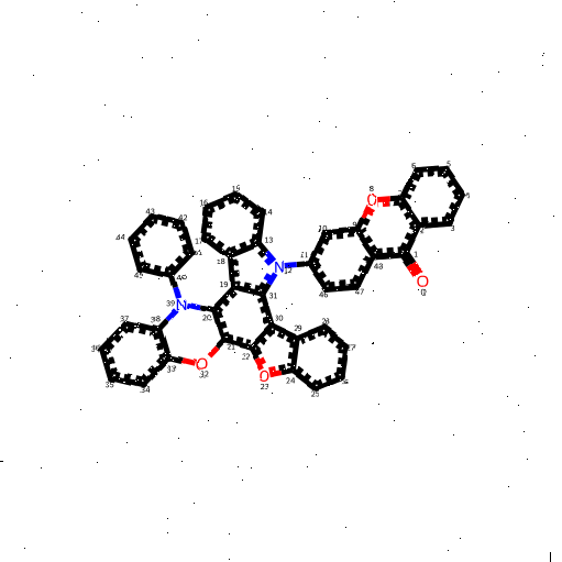 O=c1c2ccccc2oc2cc(-n3c4ccccc4c4c5c(c6oc7ccccc7c6c43)Oc3ccccc3N5c3ccccc3)ccc12